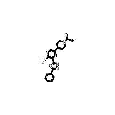 CC(C)C(=O)N1CC=C(c2cnc(N)c(-c3nnc(-c4ccccc4)o3)n2)CC1